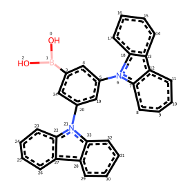 OB(O)c1cc(-n2c3ccccc3c3ccccc32)cc(-n2c3ccccc3c3ccccc32)c1